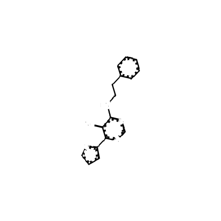 N#Cc1c(NCCc2ccccc2)ncnc1-c1ccco1